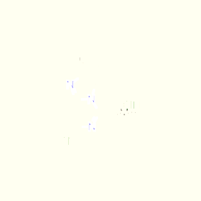 CSc1nc(Cl)cc2nc(C)cn12.Cl